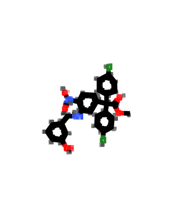 COC(=O)C(c1ccc(Cl)cc1)(c1ccc(Cl)cc1)c1ccc([N+](=O)[O-])c(NCc2cccc(O)c2)c1